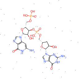 Nc1cc2c(ncn2[C@@H]2O[C@H](COP(=O)(O)O)[C@@H](OP(=O)(O)OC[C@@H]3C[C@@H](O)[C@H](n4cnc5c(=O)[nH]c(N)nc54)O3)[C@H]2O)c(=O)[nH]1